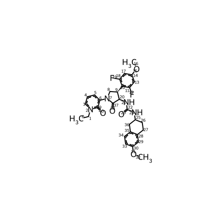 CCn1cccc(N2C[C@@H](c3c(F)cc(OC)cc3F)C(NC(=O)NC3CCc4cc(OC)ccc4C3)C2=O)c1=O